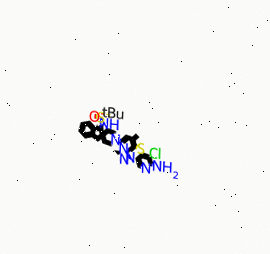 Cc1cc(N2CCC3(CC2)Cc2ccccc2[C@H]3N[S+]([O-])C(C)(C)C)n2cnnc2c1Sc1ccnc(N)c1Cl